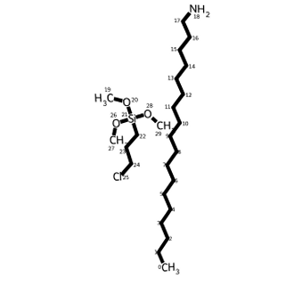 CCCCCCCCCCCCCCCCCCN.CO[Si](CCCCl)(OC)OC